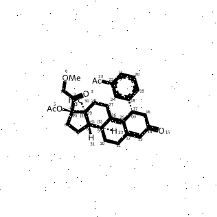 COCC(=O)[C@@]1(OC(C)=O)CC[C@H]2[C@@H]3CCC4=CC(=O)C[C@@H](c5cccc(C(C)=O)c5)C4=C3CC[C@@]21C